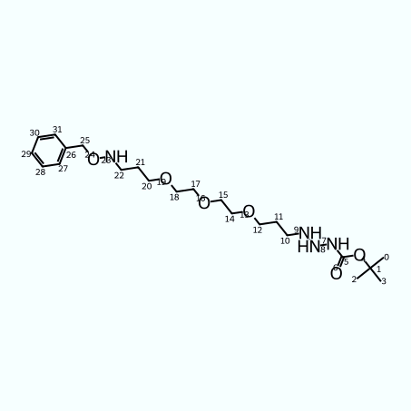 CC(C)(C)OC(=O)NNNCCCOCCOCCOCCCNOCc1ccccc1